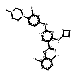 CN1CCN(c2ccc(Nc3ncc(C(=O)Nc4c(F)cccc4F)c(NC4CCC4)n3)cc2F)CC1